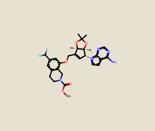 CC(C)(C)OC(=O)N1CCc2cc(C(F)F)cc(OCC3=C[C@@H](n4ccc5c(N)ncnc54)[C@@H]4OC(C)(C)O[C@H]34)c2C1